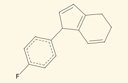 Fc1ccc(C2C=CC3=C2C=CCC3)cc1